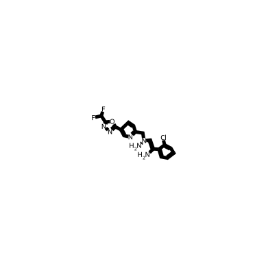 N/C(=C\N(N)Cc1ccc(-c2nnc(C(F)F)o2)cn1)c1ccccc1Cl